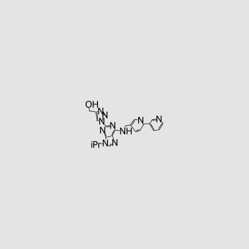 CC(C)n1cnc2c(NCc3ccc(-c4cccnc4)nc3)nc(-n3cc(CO)nn3)nc21